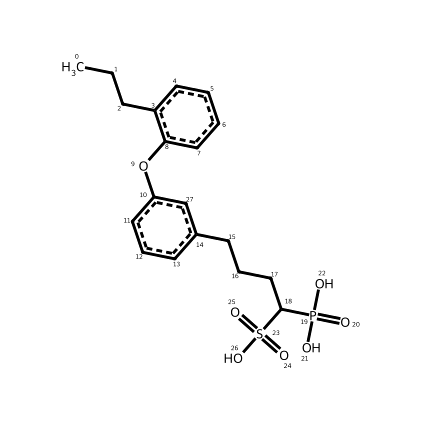 CCCc1ccccc1Oc1cccc(CCCC(P(=O)(O)O)S(=O)(=O)O)c1